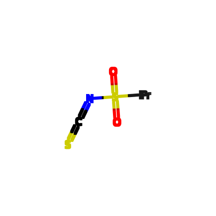 CC(C)S(=O)(=O)N=C=S